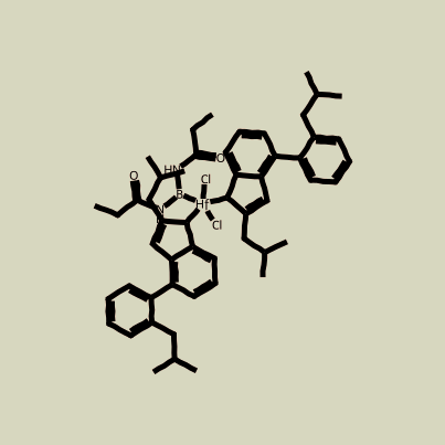 CCC(=O)N[B](NC(=O)CC)[Hf]([Cl])([Cl])([CH]1C(CC(C)C)=Cc2c(-c3ccccc3CC(C)C)cccc21)[CH]1C(CC(C)C)=Cc2c(-c3ccccc3CC(C)C)cccc21